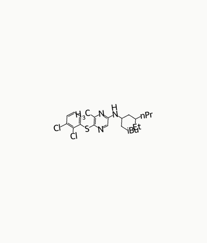 CCCC(CC)CC(CC(C)CC)Nc1cnc(Sc2cccc(Cl)c2Cl)c(C)n1